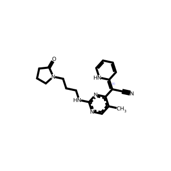 Cc1cnc(NCCCN2CCCC2=O)nc1/C(C#N)=C1/C=CC=CN1